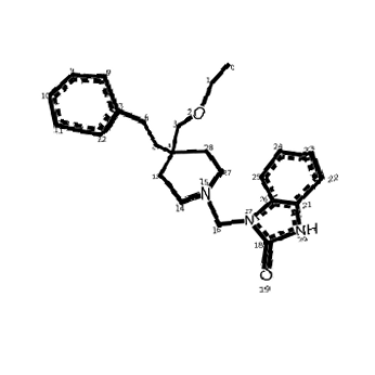 CCOCC1(CCc2ccccc2)CCN(Cn2c(=O)[nH]c3ccccc32)CC1